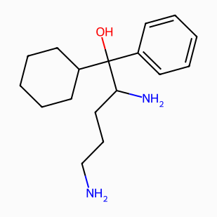 NCCCC(N)C(O)(c1ccccc1)C1CCCCC1